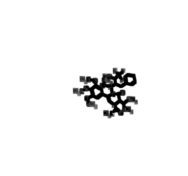 COc1cc(C2=CN(C(C)=O)C(C(C)C)C(=O)N2N(C(C)=O)C(Cc2ccccc2)C(O)C(F)(F)F)cc(OC)c1OC